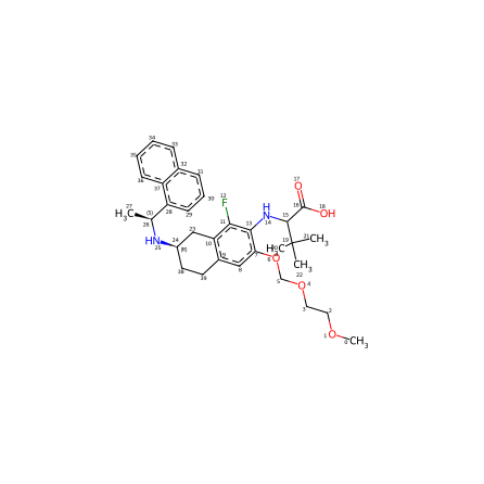 COCCOCOc1cc2c(c(F)c1NC(C(=O)O)C(C)(C)C)C[C@H](N[C@@H](C)c1cccc3ccccc13)CC2